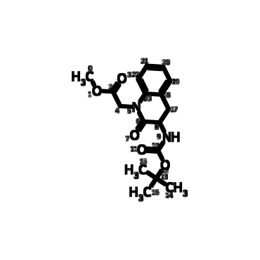 COC(=O)CN1C(=O)C(NC(=O)OC(C)(C)C)Cc2ccccc21